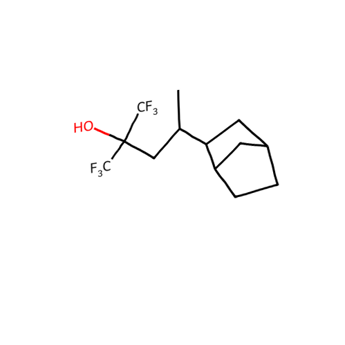 CC(CC(O)(C(F)(F)F)C(F)(F)F)C1CC2CCC1C2